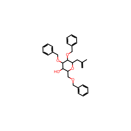 C=C(C)CC1OC(COCc2ccccc2)C(O)C(OCc2ccccc2)C1OCc1ccccc1